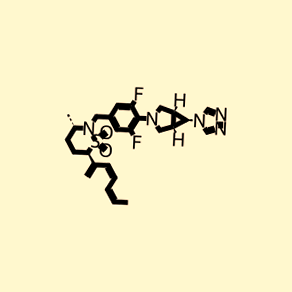 C=C(/C=C\C=C/C)[C@H]1CC[C@H](C)N(Cc2cc(F)c(N3C[C@@H]4[C@H](C3)[C@H]4n3cnnc3)c(F)c2)S1(=O)=O